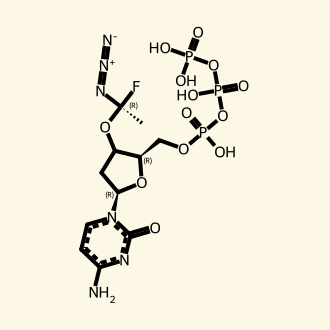 C[C@@](F)(N=[N+]=[N-])OC1C[C@H](n2ccc(N)nc2=O)O[C@@H]1COP(=O)(O)OP(=O)(O)OP(=O)(O)O